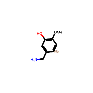 Br.COc1ccc(CN)cc1O